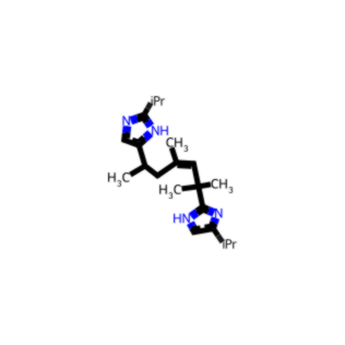 CC(=CC(C)(C)c1nc(C(C)C)c[nH]1)CC(C)c1cnc(C(C)C)[nH]1